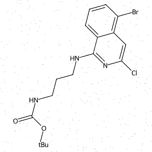 CC(C)(C)OC(=O)NCCCNc1nc(Cl)cc2c(Br)cccc12